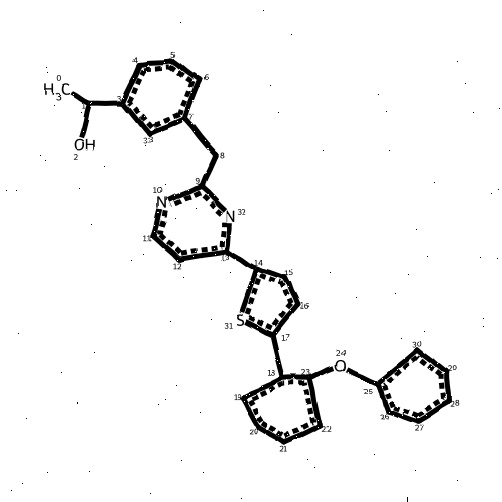 CC(O)c1cccc(Cc2nccc(-c3ccc(-c4ccccc4Oc4ccccc4)s3)n2)c1